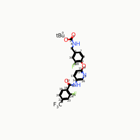 CC(C)(C)OC(=O)NCc1ccc(Oc2ccc(NC(=O)c3ccc(C(F)(F)F)cc3F)cn2)c(F)c1